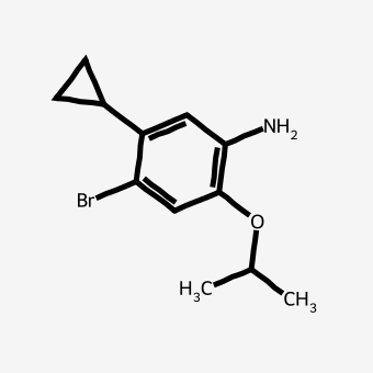 CC(C)Oc1cc(Br)c(C2CC2)cc1N